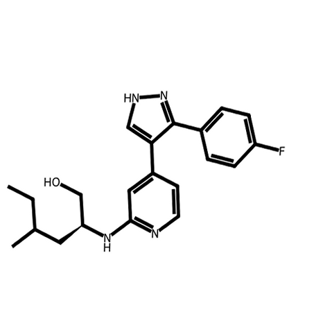 CCC(C)C[C@@H](CO)Nc1cc(-c2c[nH]nc2-c2ccc(F)cc2)ccn1